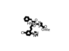 COC(=O)c1cnc(NC(=O)[C@H](Cc2ccccc2)NC(=O)C=Cc2cc(Cl)ccc2-n2cnnn2)s1